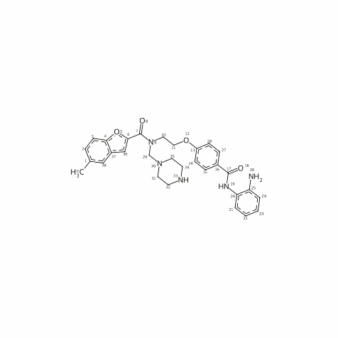 Cc1ccc2oc(C(=O)N(CCOc3ccc(C(=O)Nc4ccccc4N)cc3)CN3CCNCC3)cc2c1